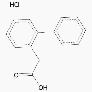 Cl.O=C(O)Cc1ccccc1-c1ccccc1